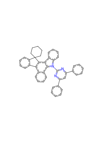 c1ccc(-c2cc(-c3ccccc3)nc(-n3c4ccccc4c4c5c(c6ccccc6c43)-c3ccccc3C53CCCCC3)n2)cc1